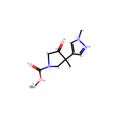 Cn1cc(C2(C)CN(C(=O)OC(C)(C)C)CC2=O)cn1